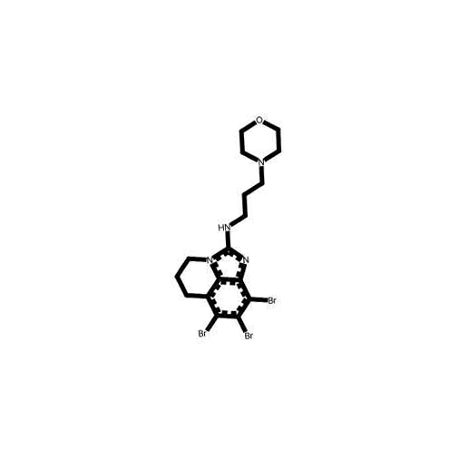 Brc1c(Br)c2c3c(nc(NCCCN4CCOCC4)n3CCC2)c1Br